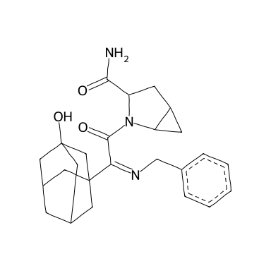 NC(=O)C1CC2CC2N1C(=O)/C(=N\Cc1ccccc1)C12CC3CC(CC(O)(C3)C1)C2